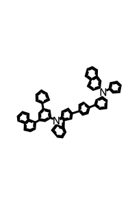 c1ccc(-c2cc(-c3cccc4ccccc34)cc(-n3c4ccccc4c4cc(-c5ccc(-c6cccc(N(c7ccccc7)c7ccc8ccccc8c7)c6)cc5)ccc43)c2)cc1